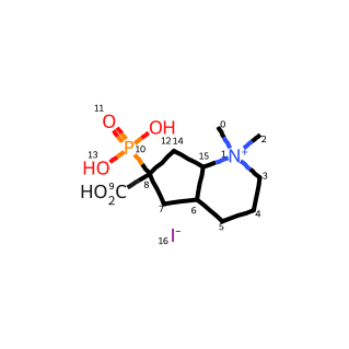 C[N+]1(C)CCCC2CC(C(=O)O)(P(=O)(O)O)CC21.[I-]